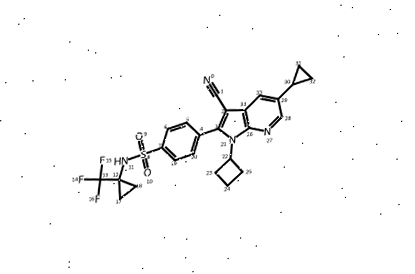 N#Cc1c(-c2ccc(S(=O)(=O)NC3(C(F)(F)F)CC3)cc2)n(C2CCC2)c2ncc(C3CC3)cc12